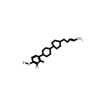 C/C=C/CCC1CCC(C2CCC(c3ccc(OCC)c(Cl)c3F)CC2)CC1